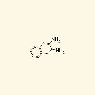 NC1=Cc2ccccc2CC1N